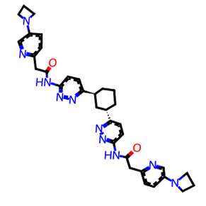 O=C(Cc1ccc(N2CCC2)cn1)Nc1ccc([C@H]2CCC[C@H](c3ccc(NC(=O)Cc4ccc(N5CCC5)cn4)nn3)C2)nn1